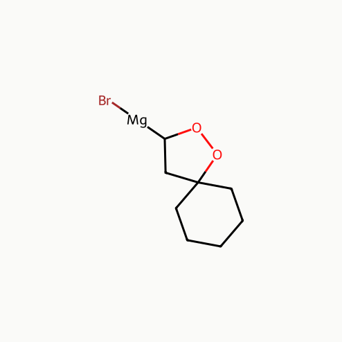 [Br][Mg][CH]1CC2(CCCCC2)OO1